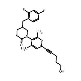 Cc1cc(C#CCCCO)cc(C)c1N1CC(Cc2ccc(F)cc2F)CCC1=O